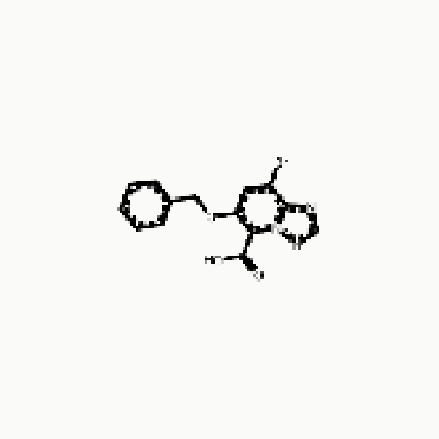 O=C(O)c1c(OCc2ccccc2)cc(Br)c2ncnn12